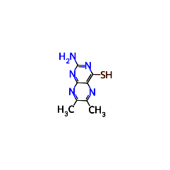 Cc1nc2nc(N)nc(S)c2nc1C